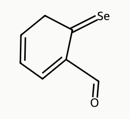 O=CC1=CC=CCC1=[Se]